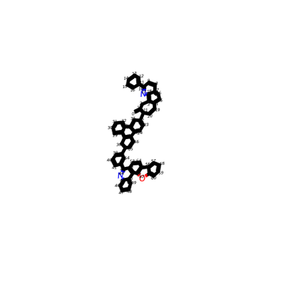 C=C1Cc2c(ccc3ccc(-c4ccccc4)nc23)C=CC1c1ccc2c3c(c4ccccc4c2c1)CC(c1cccc(-c2nc4ccccc4c4c2ccc2c5ccccc5oc24)c1)C=C3